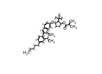 C=C(C)C(=O)OC1CCC(Oc2ccc3cc(-c4ccc(CCCCC)cc4CC)n(C)c3c2)C1C(F)(F)F